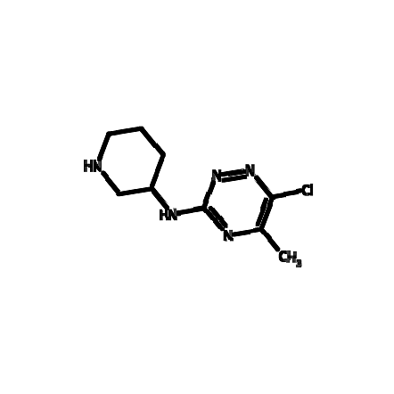 Cc1nc(NC2CCCNC2)nnc1Cl